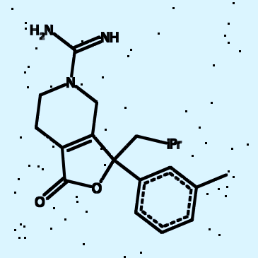 Cc1cccc(C2(CC(C)C)OC(=O)C3=C2CN(C(=N)N)CC3)c1